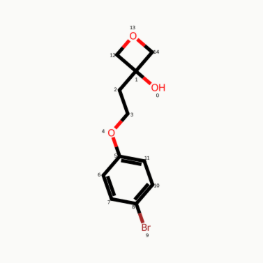 OC1(CCOc2ccc(Br)cc2)COC1